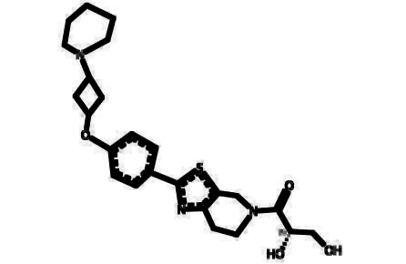 O=C([C@@H](O)CO)N1CCc2nc(-c3ccc(OC4CC(N5CCCCC5)C4)cc3)sc2C1